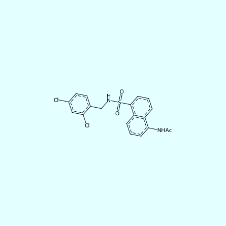 CC(=O)Nc1cccc2c(S(=O)(=O)NCc3ccc(Cl)cc3Cl)cccc12